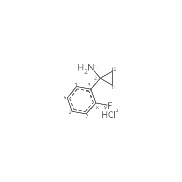 Cl.NC1(c2ccccc2F)CC1